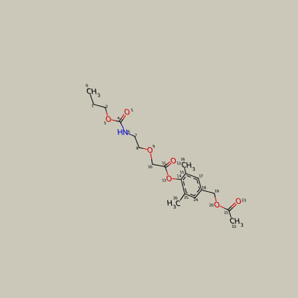 CCCOC(=O)NCCOCC(=O)Oc1c(C)cc(COC(C)=O)cc1C